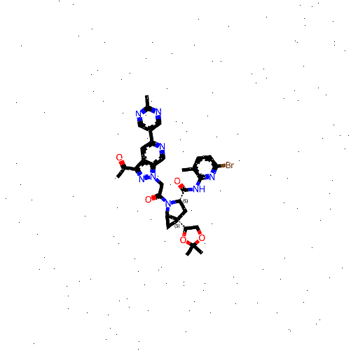 CC(=O)c1nn(CC(=O)N2C3C[C@]3(C3COC(C)(C)O3)C[C@H]2C(=O)Nc2nc(Br)ccc2C)c2cnc(-c3cnc(C)nc3)cc12